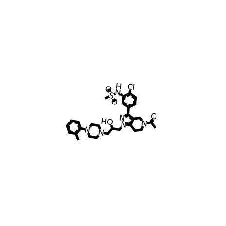 CC(=O)N1CCc2c(c(-c3ccc(Cl)c(NS(C)(=O)=O)c3)nn2CC(O)CN2CCN(c3ccccc3C)CC2)C1